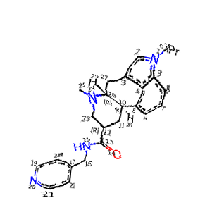 CC(C)n1cc2c3c(cccc31)[C@H]1C[C@@H](C(=O)NCc3ccncc3)CN(C)[C@@H]1C2